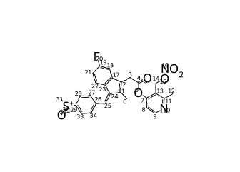 CC1=C(CC(=O)Oc2ccnc(C)c2CO[N+](=O)[O-])c2cc(F)ccc2C1=Cc1ccc([S+](C)[O-])cc1